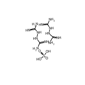 N=C(N)NNC(=N)N.N=C(N)NNC(=N)N.O=S(=O)(O)O